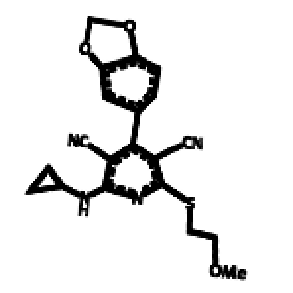 COCCSc1nc(NC2CC2)c(C#N)c(-c2ccc3c(c2)OCO3)c1C#N